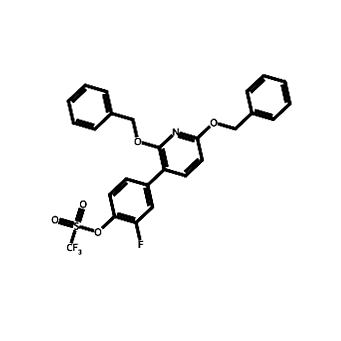 O=S(=O)(Oc1ccc(-c2ccc(OCc3ccccc3)nc2OCc2ccccc2)cc1F)C(F)(F)F